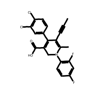 CC#CC1=C(C)N(c2ccc(F)cc2F)CC(C(=O)O)=C1c1ccc(Cl)c(Cl)c1